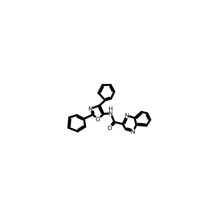 O=C(Nc1oc(-c2ccccc2)nc1-c1ccccc1)c1cnc2ccccc2n1